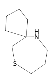 C1CNC2(CCCC2)CSC1